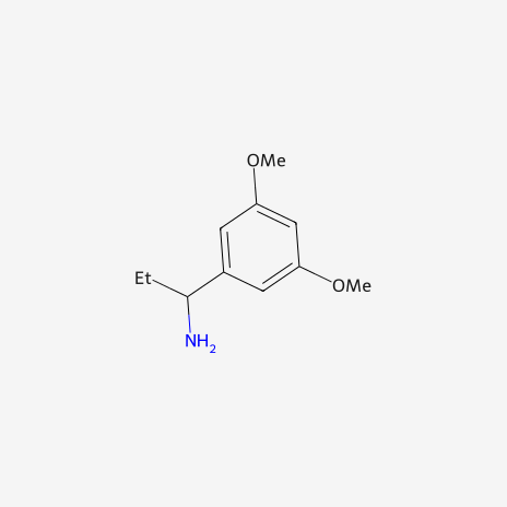 CCC(N)c1cc(OC)cc(OC)c1